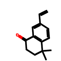 C=Cc1ccc2c(c1)C(=O)CCC2(C)C